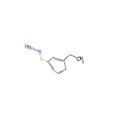 CCc1cccc(SN=N)c1